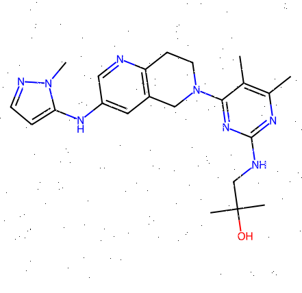 Cc1nc(NCC(C)(C)O)nc(N2CCc3ncc(Nc4ccnn4C)cc3C2)c1C